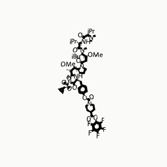 CC[C@H](C)C([C@@H](CC(=O)N1CCC[C@H]1[C@H](OC)[C@@H](C)C(=O)N[C@@H](Cc1ccc(OC(=O)N2CCC(C(=O)Oc3c(F)c(F)c(F)c(F)c3F)CC2)cc1)C(=O)NS(=O)(=O)C1CC1)OC)N(C)C(=O)[C@@H](NC(=O)[C@H](C(C)C)N(C)C)C(C)C